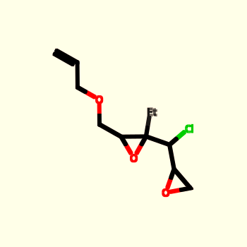 C=CCOCC1OC1(CC)C(Cl)C1CO1